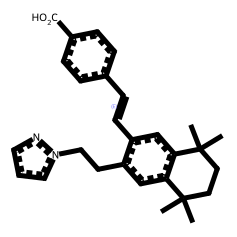 CC1(C)CCC(C)(C)c2cc(CCn3cccn3)c(/C=C/c3ccc(C(=O)O)cc3)cc21